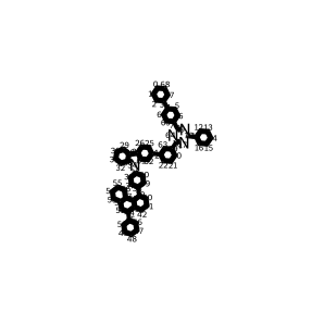 c1ccc(-c2ccc(-c3nc(-c4ccccc4)nc(-c4cccc(-c5ccc6c7ccccc7n(-c7ccc(-c8cccc9c(-c%10ccccc%10)cc%10ccccc%10c89)cc7)c6c5)c4)n3)cc2)cc1